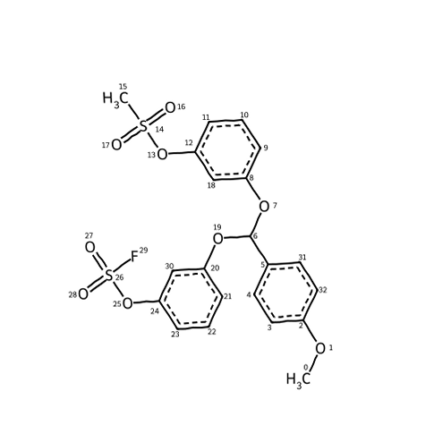 COc1ccc(C(Oc2cccc(OS(C)(=O)=O)c2)Oc2cccc(OS(=O)(=O)F)c2)cc1